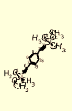 CO[Si](C)(C)C#Cc1ccc(C#C[Si](C)(C)OC)cc1